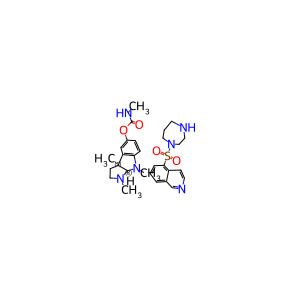 CNC(=O)Oc1ccc2c(c1)[C@]1(C)CCN(C)[C@@H]1N2C.O=S(=O)(c1cccc2cnccc12)N1CCCNCC1